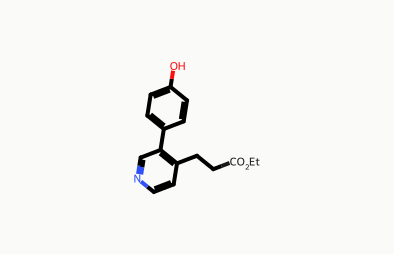 CCOC(=O)CCc1ccncc1-c1ccc(O)cc1